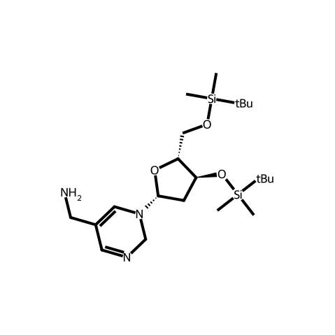 CC(C)(C)[Si](C)(C)OC[C@H]1O[C@@H](N2C=C(CN)C=NC2)C[C@@H]1O[Si](C)(C)C(C)(C)C